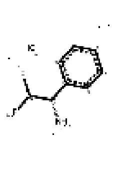 Cl.N[C@@H](c1ccccc1)C(F)F